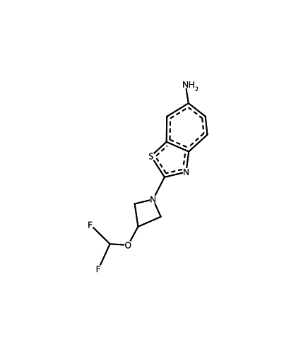 Nc1ccc2nc(N3CC(OC(F)F)C3)sc2c1